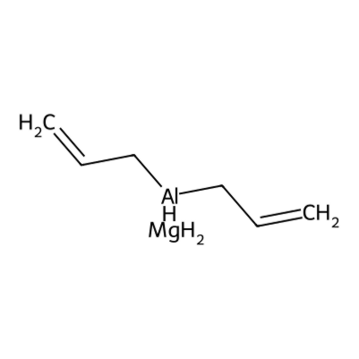 C=C[CH2][AlH][CH2]C=C.[MgH2]